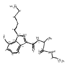 CC(C)(C)C(NC(=O)c1nn(CCCCN)c2c(F)cccc12)C(=O)NCC(=O)O